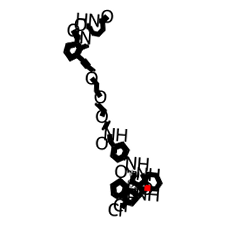 O=C1CCC(N2Cc3c(C#CCOCCOCCOCCNC(=O)c4ccc(NC(=O)[C@@H]5NC6(CCCCC6)[C@@]6(C(=O)Nc7cc(Cl)ccc76)[C@H]5c5cccc(Cl)c5F)cc4)cccc3C2=O)C(=O)N1